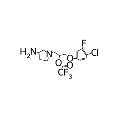 NC1CCN(CC(COc2ccc(Cl)c(F)c2)OC(=O)C(F)(F)F)C1